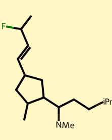 CNC(CCC(C)C)C1CC(C=CC(C)F)CC1C